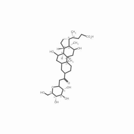 C[C@H](CCC(=O)O)[C@H]1CC[C@H]2[C@@H]3C(O)CC4CC(C(=O)CC5O[C@H](CO)[C@@H](O)[C@H](O)[C@H]5O)CC[C@]4(C)[C@H]3CC(O)[C@]12C